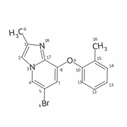 Cc1cn2cc(Br)cc(Oc3ccccc3C)c2n1